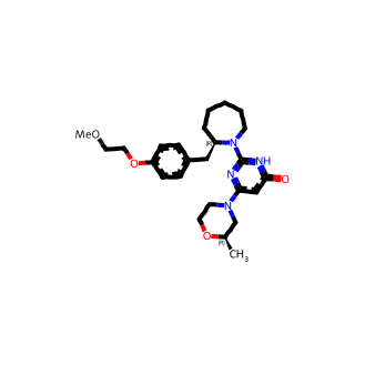 COCCOc1ccc(C[C@H]2CCCCCN2c2nc(N3CCO[C@H](C)C3)cc(=O)[nH]2)cc1